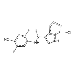 N#Cc1cc(F)c(N[S+]([O-])c2c[nH]c3c(Cl)cccc23)cc1F